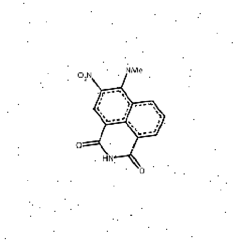 CNc1c([N+](=O)[O-])cc2c3c(cccc13)C(=O)NC2=O